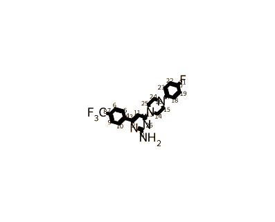 Nc1nc(-c2ccc(C(F)(F)F)cc2)cc(N2CCN(c3ccc(F)cc3)CC2)n1